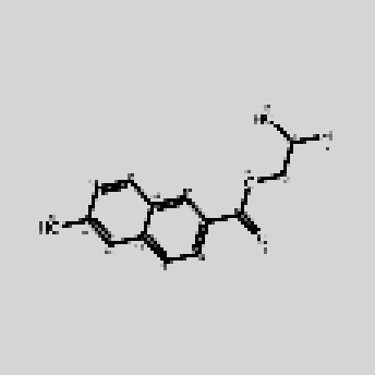 CCC(O)COC(=O)c1ccc2cc(O)ccc2c1